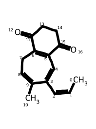 C/C=C\C1=CC2=C(CC=C1C)C(=O)CCC2=O